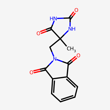 CC1(CN2C(=O)c3ccccc3C2=O)NC(=O)NC1=O